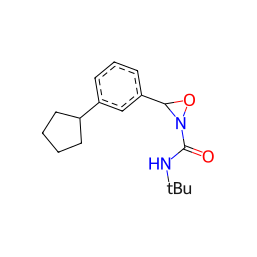 CC(C)(C)NC(=O)N1OC1c1cccc(C2CCCC2)c1